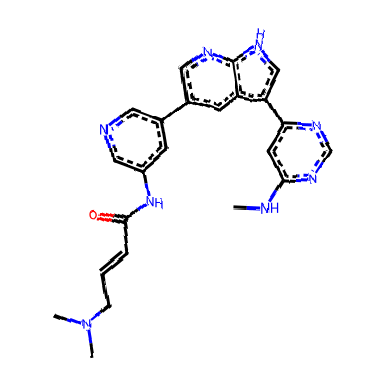 CNc1cc(-c2c[nH]c3ncc(-c4cncc(NC(=O)C=CCN(C)C)c4)cc23)ncn1